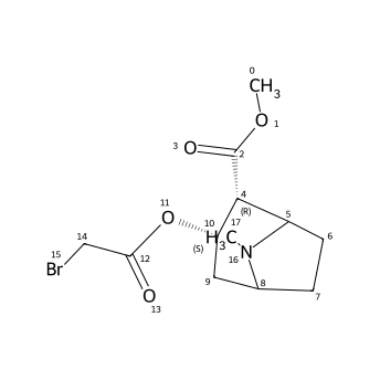 COC(=O)[C@@H]1C2CCC(C[C@@H]1OC(=O)CBr)N2C